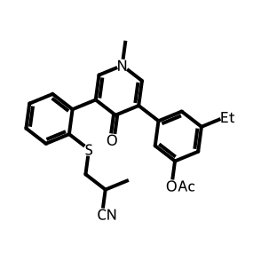 CCc1cc(OC(C)=O)cc(-c2cn(C)cc(-c3ccccc3SCC(C)C#N)c2=O)c1